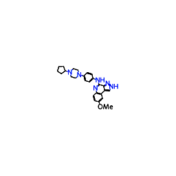 COc1ccc2nc(Nc3ccc(N4CCN(C5CCCC5)CC4)cc3)c3n[nH]cc3c2c1